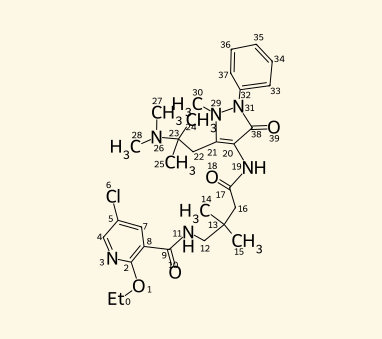 CCOc1ncc(Cl)cc1C(=O)NCC(C)(C)CC(=O)Nc1c(CC(C)(C)N(C)C)n(C)n(-c2ccccc2)c1=O